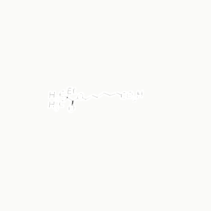 CCC(C)(C)C(=O)OCCCCCCC(=O)O